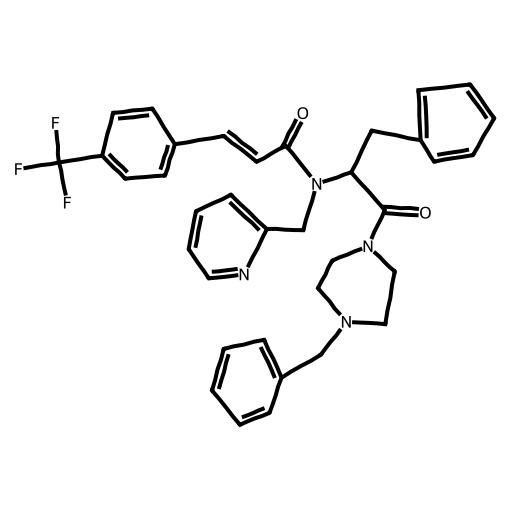 O=C(C(Cc1ccccc1)N(Cc1ccccn1)C(=O)C=Cc1ccc(C(F)(F)F)cc1)N1CCN(Cc2ccccc2)CC1